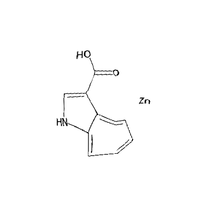 O=C(O)c1c[nH]c2ccccc12.[Zn]